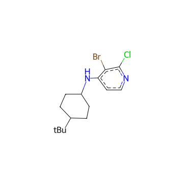 CC(C)(C)C1CCC(Nc2ccnc(Cl)c2Br)CC1